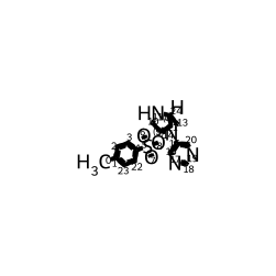 Cc1ccc(S(=O)(=O)O[C@@]23CN[C@H](CN2c2cncnc2)C3)cc1